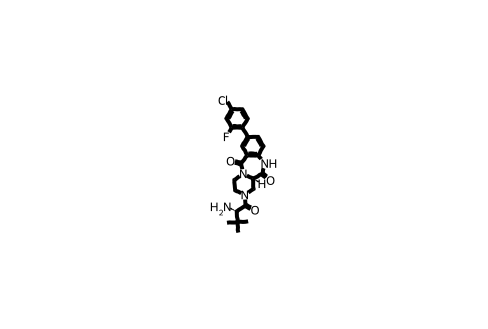 CC(C)(C)[C@H](N)C(=O)N1CCN2C(=O)c3cc(-c4ccc(Cl)cc4F)ccc3NC(=O)[C@H]2C1